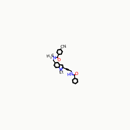 CCn1c(C#CCNC(=O)c2ccccc2)cc2cc(CN(C)C(=O)c3ccc(C#N)cc3)ccc21